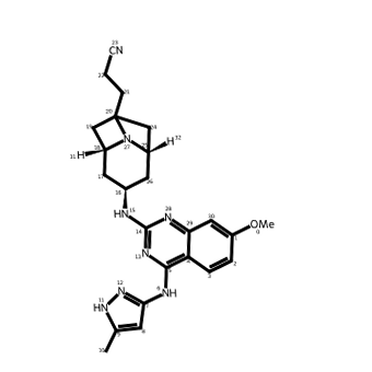 COc1ccc2c(Nc3cc(C)[nH]n3)nc(N[C@H]3C[C@@H]4CC5(CCC#N)C[C@H](C3)N45)nc2c1